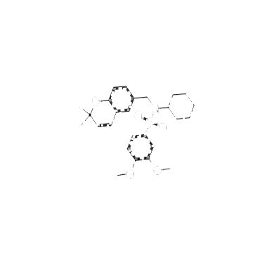 COc1ccc(S(=O)(=O)N(Cc2ccc3c(c2)C=CC(C)(C)O3)C2CCCCC2)cc1OC